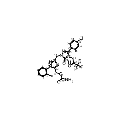 Cc1ccccc1-n1nc(Cn2nc(-c3ccc(Cl)cc3)n(CC(O)C(F)(F)F)c2=O)nc1COC(N)=O